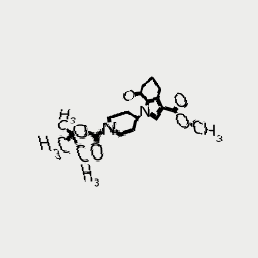 COC(=O)c1cn(C2CCN(C(=O)OC(C)(C)C)CC2)c2c1CCCC2=O